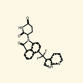 O=C1CCC(N2C(=O)c3cccc4c(C(F)(F)c5c[nH]c6ncccc56)ccc2c34)C(=O)N1